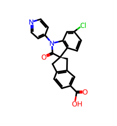 O=C(O)c1ccc2c(c1)C[C@@]1(C2)C(=O)N(c2ccncc2)c2cc(Cl)ccc21